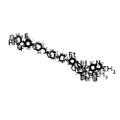 CCc1cc(Nc2ncc(Br)c(Nc3ccc4ncc(C)cc4c3P(C)(C)=O)n2)c(OC)cc1N1CCC(N2CCN(CCC3CCN(c4cc(F)c(C5CCC(=O)NC5=O)c(F)c4)CC3)CC2)CC1